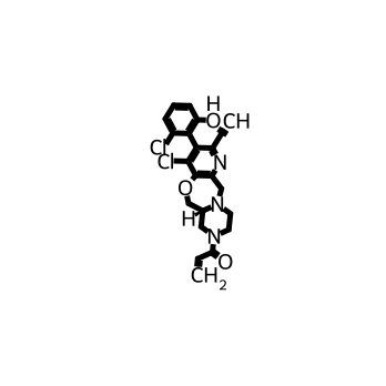 C#Cc1nc2c(c(Cl)c1-c1c(O)cccc1Cl)OC[C@H]1CN(C(=O)C=C)CCN1C2